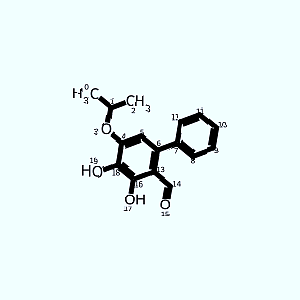 CC(C)Oc1cc(-c2ccccc2)c(C=O)c(O)c1O